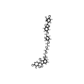 CN1C(=O)CCC(N2C(=O)c3cccc(NCCOCCOCCOc4ccc(COc5ccc6oc(-c7ccc(=O)n(C)n7)nc6c5)nc4)c3C2=O)C1=O